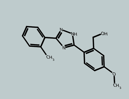 COc1ccc(-c2nc(-c3ccccc3C)n[nH]2)c(CO)c1